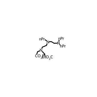 CCCN(CCC)CCN(CCC)CCN(CC(=O)OCC)CC(=O)OCC